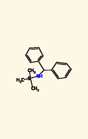 C[Si](C)(C)NC(c1ccccc1)c1ccccc1